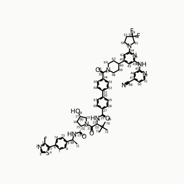 Cc1ncsc1-c1ccc([C@H](C)NC(=O)[C@@H]2C[C@@H](O)CN2C(=O)[C@@H](NC(=O)c2ccc(-c3ccc(C(=O)N4CCC(c5cc(Nc6cc(C#N)ccn6)nc(N6CCC(F)(F)C6)c5)CC4)cc3)cc2)C(C)(C)C)cc1